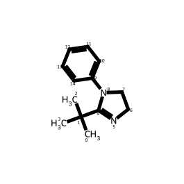 CC(C)(C)C1=NCCN1c1ccccc1